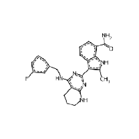 Cc1[nH]c2c(C(N)=O)cccc2c1-c1nc2c(c(NCc3cccc(F)c3)n1)CCCN2